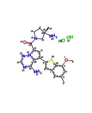 COc1cc(C)cc2cc(-c3cc(C(=O)N4CC[C@](C)(N)C4)n4ncnc(N)c34)sc12.Cl.Cl